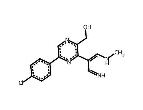 CN/C=C(\C=N)c1nc(-c2ccc(Cl)cc2)cnc1CO